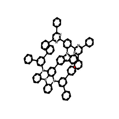 c1ccc(-c2cc(-c3ccccc3)cc(N3c4ccccc4B4c5ccccc5N(c5cc(-c6ccccc6)cc(-c6ccccc6)c5)c5cc(-c6ccc7c(c6)c6ccccc6n7-c6cc(-c7nc(-c8ccccc8)cc(-c8ccccc8)n7)ccc6-c6nc(-c7ccccc7)cc(-c7ccccc7)n6)cc3c54)c2)cc1